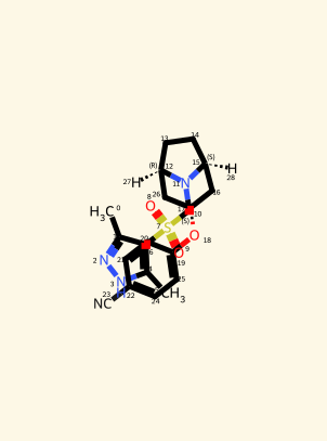 Cc1n[nH]c(C)c1S(=O)(=O)CN1[C@@H]2CC[C@H]1C[C@H](Oc1ccc(C#N)cc1)C2